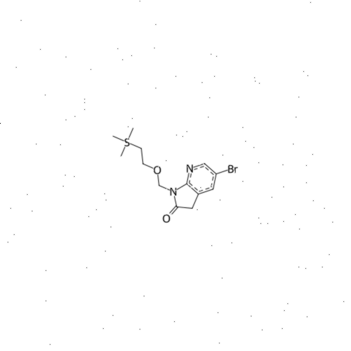 CS(C)(C)CCOCN1C(=O)Cc2cc(Br)cnc21